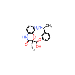 CC(N)c1ccccc1.CC1(C(=O)O)Oc2ccccc2NC1=O